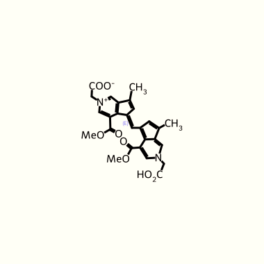 COC(=O)c1c[n+](CC(=O)[O-])cc2c1/C(=C/c1cc(C)c3cn(CC(=O)O)cc(C(=O)OC)c1-3)C=C2C